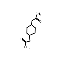 CC(=O)CC1CCC(CC(C)=O)CC1